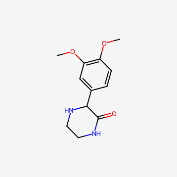 COc1ccc(C2NCCNC2=O)cc1OC